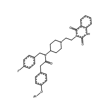 CC(C)Oc1ccc(CC(=O)N(Cc2ccc(F)cc2)C2CCN(CCn3c(=O)[nH]c4ccccc4c3=O)CC2)cc1